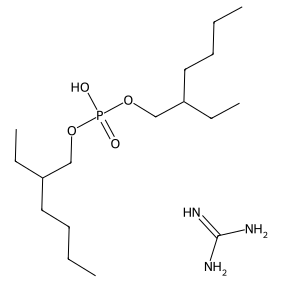 CCCCC(CC)COP(=O)(O)OCC(CC)CCCC.N=C(N)N